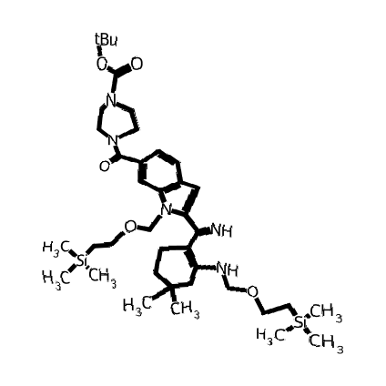 CC1(C)CCC(C(=N)c2cc3ccc(C(=O)N4CCN(C(=O)OC(C)(C)C)CC4)cc3n2COCC[Si](C)(C)C)=C(NCOCC[Si](C)(C)C)C1